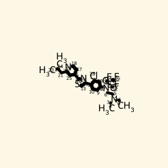 CCN(CC)CCN(c1ccc(-c2csc(-c3ccnc(CC(C)C)c3)n2)c(Cl)c1)S(=O)(=O)C(F)(F)F